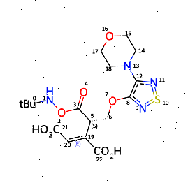 CC(C)(C)NOC(=O)[C@H](COc1nsnc1N1CCOCC1)/C(=C\C(=O)O)C(=O)O